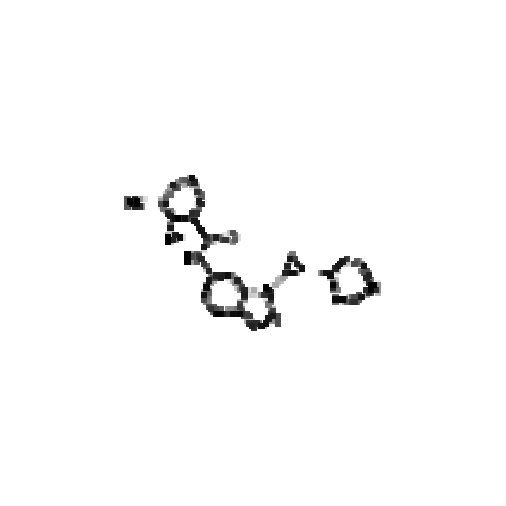 CC(C)c1c(C#N)cccc1C(=O)Nc1ccc2cnn(C3CC3c3ccncc3)c2c1